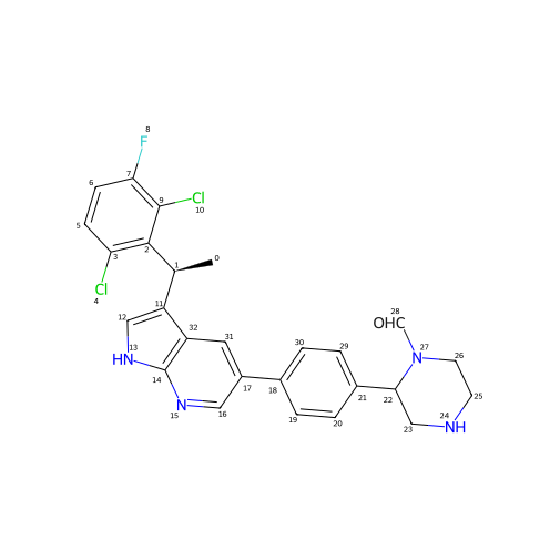 C[C@H](c1c(Cl)ccc(F)c1Cl)c1c[nH]c2ncc(-c3ccc(C4CNCCN4C=O)cc3)cc12